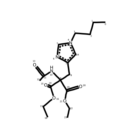 CCCCn1cnc(CC(NC(C)=O)(C(=O)OCC)C(=O)OCC)c1